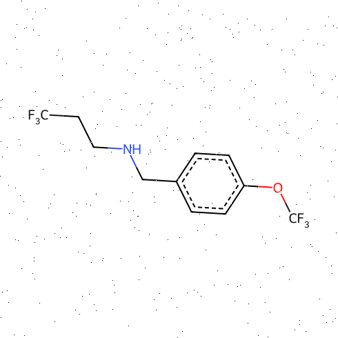 FC(F)(F)CCNCc1ccc(OC(F)(F)F)cc1